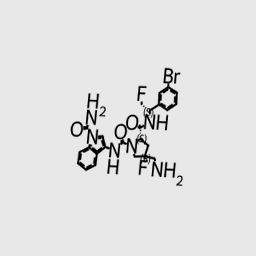 NC[C@@]1(F)C[C@@H](C(=O)N[C@H](CF)c2cccc(Br)c2)N(C(=O)Nc2cn(C(N)=O)c3ccccc23)C1